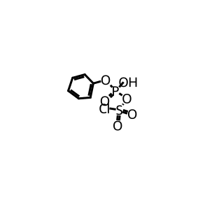 O=P(O)(Oc1ccccc1)OS(=O)(=O)Cl